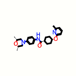 Cc1cccc(O[C@H]2CC[C@@H](C(=O)Nc3ccc(N4C[C@@H](C)O[C@@H](C)C4)cc3)CC2)n1